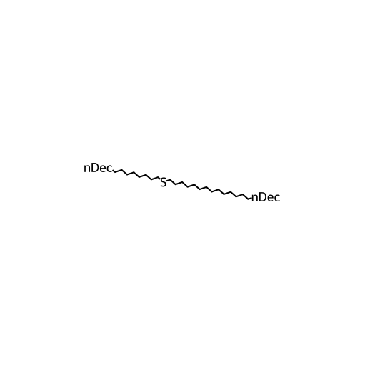 CCCCCCCCCCCCCCCCCCCCCCCCSCCCCCCCCCCCCCCCCCC